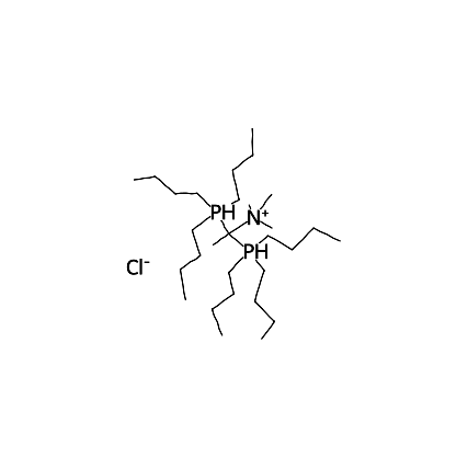 CCCC[PH](CCCC)(CCCC)C(C)([N+](C)(C)C)[PH](CCCC)(CCCC)CCCC.[Cl-]